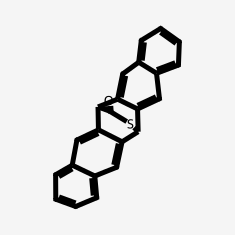 O=C1SC2c3cc4ccccc4cc3C1c1cc3ccccc3cc12